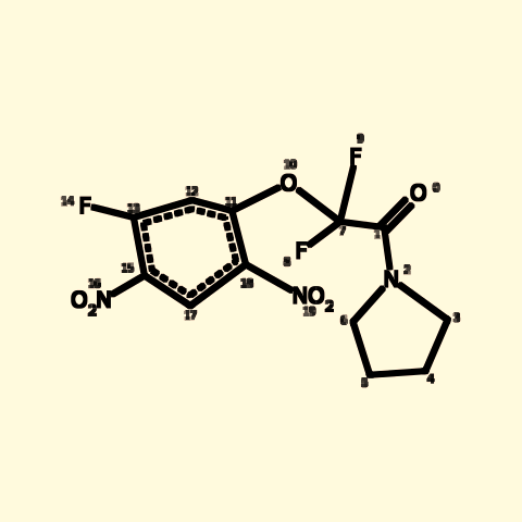 O=C(N1CCCC1)C(F)(F)Oc1cc(F)c([N+](=O)[O-])cc1[N+](=O)[O-]